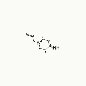 C=CCN1CCC([NH])CC1